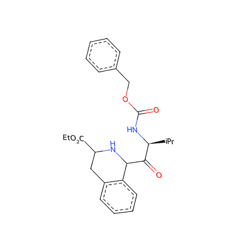 CCOC(=O)C1Cc2ccccc2C(C(=O)[C@@H](NC(=O)OCc2ccccc2)C(C)C)N1